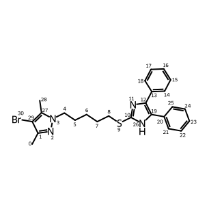 Cc1nn(CCCCCSc2nc(-c3ccccc3)c(-c3ccccc3)[nH]2)c(C)c1Br